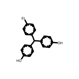 CCc1ccc(C(c2ccc(O)cc2)c2ccc(O)cc2)cc1